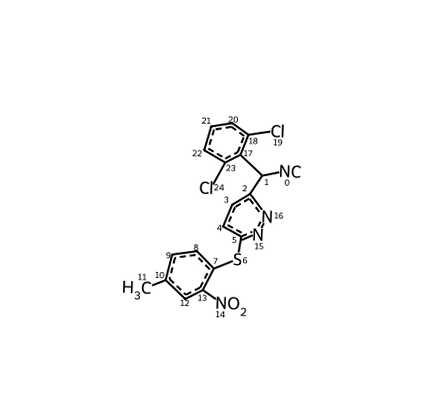 [C-]#[N+]C(c1ccc(Sc2ccc(C)cc2[N+](=O)[O-])nn1)c1c(Cl)cccc1Cl